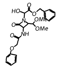 COC(OC)C1C(NC(=O)COc2ccccc2)C(=O)N1C(O)C(=O)OCc1ccccc1